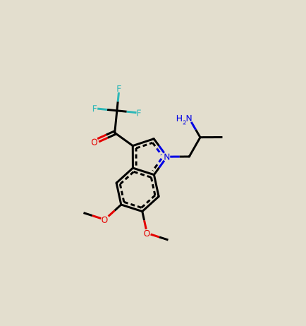 COc1cc2c(C(=O)C(F)(F)F)cn(CC(C)N)c2cc1OC